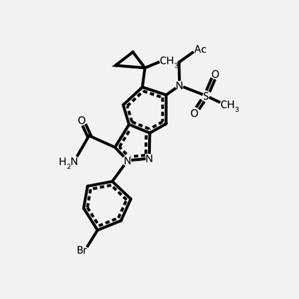 CC(=O)CN(c1cc2nn(-c3ccc(Br)cc3)c(C(N)=O)c2cc1C1(C)CC1)S(C)(=O)=O